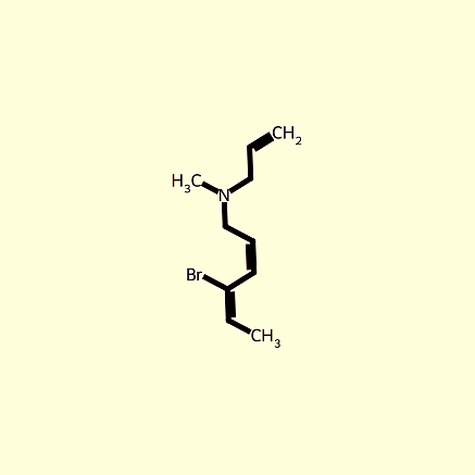 C=CCN(C)C/C=C\C(Br)=C/C